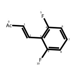 CC(=O)C=Cc1c(F)cccc1F